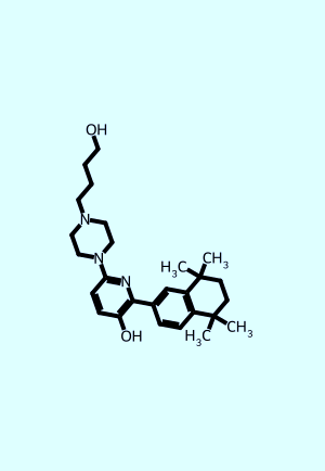 CC1(C)CCC(C)(C)c2cc(-c3nc(N4CCN(CCCCO)CC4)ccc3O)ccc21